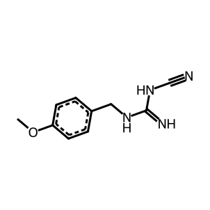 COc1ccc(CNC(=N)NC#N)cc1